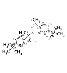 CC(CCC(C)(C)c1cnc(C(C)(C)C)nc1)c1ccc(C(C)(C)C)cc1